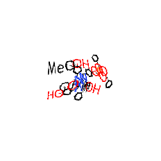 COc1cc(CN2C(=O)N(Cc3ccc(O)c(OC)c3)N(Cc3ccc(OCP(=O)(OCc4ccccc4)OCc4ccccc4)cc3)C[C@@H](O)[C@H]2Cc2ccccc2)ccc1O